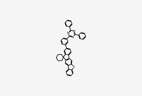 c1ccc(-c2nc(-c3ccccc3)nc(-c3cccc(-c4ccc5c(c4)C4(CCCCC4)c4cc6c(cc4-5)sc4ccccc46)c3)n2)cc1